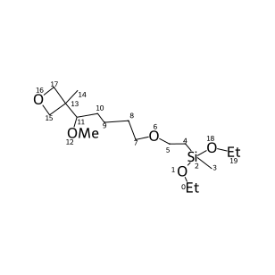 CCO[Si](C)(CCOCCCCC(OC)C1(C)COC1)OCC